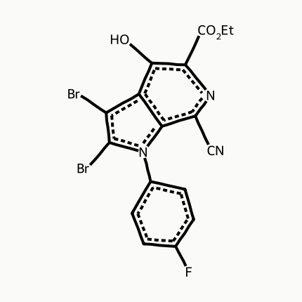 CCOC(=O)c1nc(C#N)c2c(c1O)c(Br)c(Br)n2-c1ccc(F)cc1